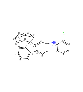 Clc1ccccc1Nc1ccc2c(c1)C1(c3ccccc3-2)C2CC3CC(C2)C1C3